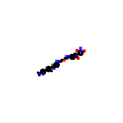 Cc1cc(-c2ccc(N(C)C)nc2)ccc1-c1nc2ccc(NCCOCCNc3ccc4c(c3)CN(C3CCC(=O)NC3=O)C4=O)cc2s1